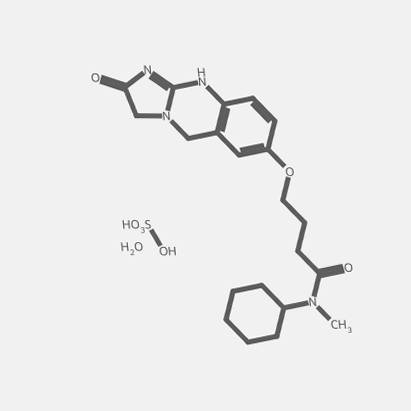 CN(C(=O)CCCOc1ccc2c(c1)CN1CC(=O)N=C1N2)C1CCCCC1.O.O=S(=O)(O)O